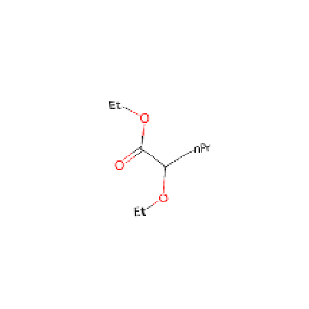 CCCC(OCC)C(=O)OCC